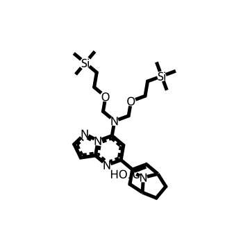 C[Si](C)(C)CCOCN(COCC[Si](C)(C)C)c1cc(C2=CC3CCC(C2)N3C(=O)O)nc2ccnn12